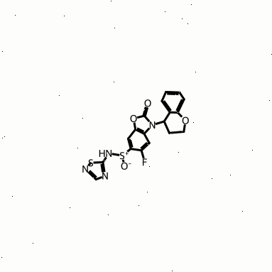 O=c1oc2cc([S+]([O-])Nc3ncns3)c(F)cc2n1C1CCOc2ccccc21